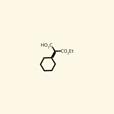 CCOC(=O)C(C(=O)O)=C1CCCCC1